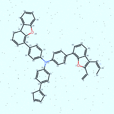 C=Cc1oc2c(-c3ccc(N(c4ccc(C5=CC=CC5)cc4)c4ccc(C5=C6Oc7ccccc7C6CC=C5)cc4)cc3)cccc2c1/C=C\C